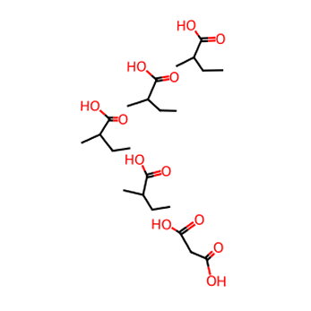 CCC(C)C(=O)O.CCC(C)C(=O)O.CCC(C)C(=O)O.CCC(C)C(=O)O.O=C(O)CC(=O)O